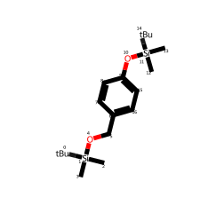 CC(C)(C)[Si](C)(C)OCc1ccc(O[Si](C)(C)C(C)(C)C)cc1